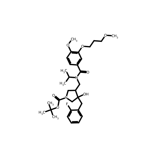 COCCCOc1cc(C(=O)N(CC2CN(C(=O)OC(C)(C)C)CC2(O)Cc2ccccc2F)C(C)C)ccc1OC